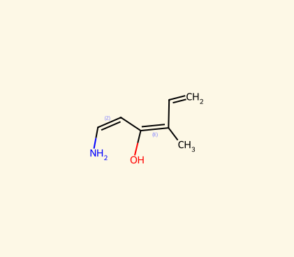 C=C/C(C)=C(O)\C=C/N